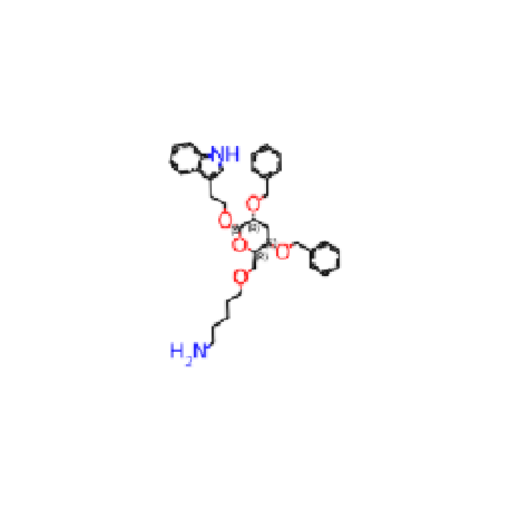 NCCCCCOC[C@H]1O[C@H](OCCc2c[nH]c3ccccc23)[C@H](OCc2ccccc2)C[C@@H]1OCc1ccccc1